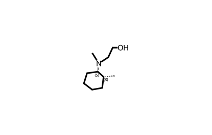 C[C@@H]1CCCC[C@@H]1N(C)CCO